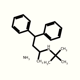 CC(CC(c1ccccc1)c1ccccc1)NC(C)(C)C.N